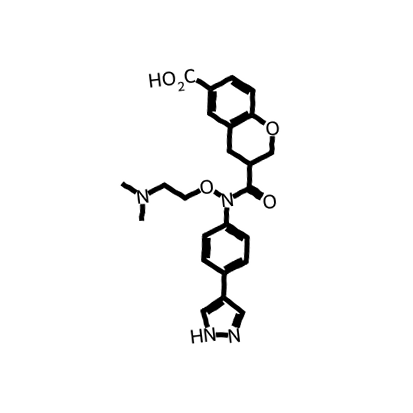 CN(C)CCON(C(=O)C1COc2ccc(C(=O)O)cc2C1)c1ccc(-c2cn[nH]c2)cc1